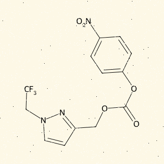 O=C(OCc1ccn(CC(F)(F)F)n1)Oc1ccc([N+](=O)[O-])cc1